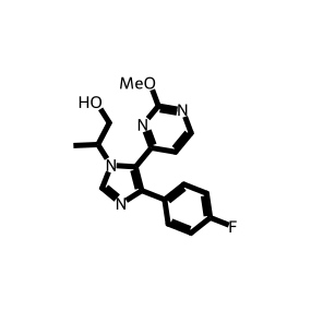 COc1nccc(-c2c(-c3ccc(F)cc3)ncn2C(C)CO)n1